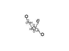 O=C(NCCC[C@@H]1NC(=O)C2(CCN(CCc3ccccc3)CC2)N(CCCn2ccnc2)C1=O)OCc1ccccc1